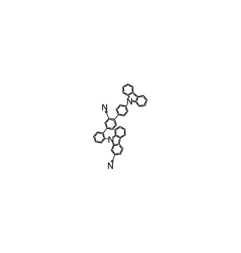 N#Cc1ccc2c3ccccc3n(-c3ccccc3-c3ccc(-c4ccc(-n5c6ccccc6c6ccccc65)cc4)c(C#N)c3)c2c1